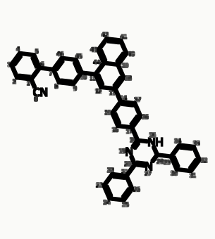 N#Cc1ccccc1-c1ccc(-c2cc(-c3ccc(C4=NC(c5ccccc5)=NC(c5ccccc5)N4)cc3)cc3ccccc23)cc1